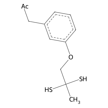 CC(=O)Cc1cccc(OCC(C)(S)S)c1